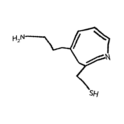 NCCc1cccnc1CS